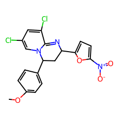 COc1ccc(C2CC(c3ccc([N+](=O)[O-])o3)N=C3C(Cl)=CC(Cl)=CN32)cc1